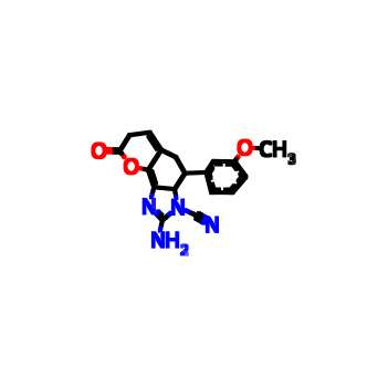 COc1cccc(C2CC3=CCC(=O)OC3=C3N=C(N)N(C#N)C32)c1